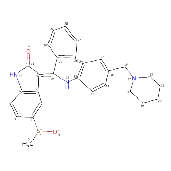 C[S+]([O-])c1ccc2c(c1)C(=C(Nc1ccc(CN3CCCCC3)cc1)c1ccccc1)C(=O)N2